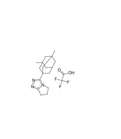 CC12CC3CC(C)(C1)CC(c1nnc4n1CCC4)(C3)C2.O=C(O)C(F)(F)F